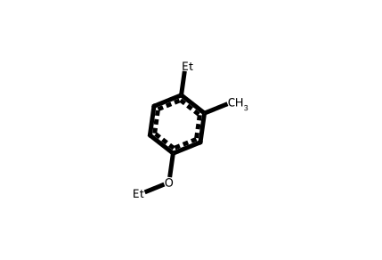 CCOc1ccc(CC)c(C)c1